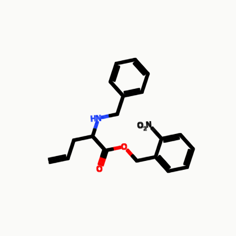 C=CCC(NCc1ccccc1)C(=O)OCc1ccccc1[N+](=O)[O-]